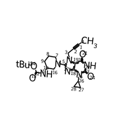 CC#CCn1c(N2CCCC(NC(=O)OC(C)(C)C)C2)nc2c1c(=O)[nH]c(=O)n2C1CC1